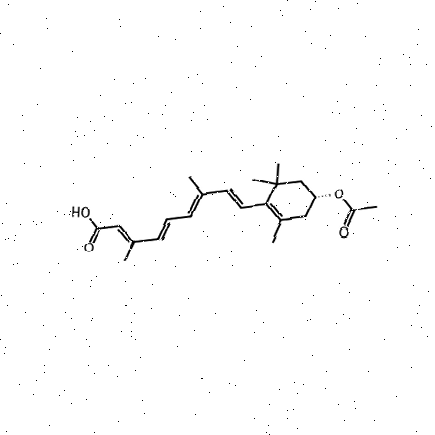 CC(=O)O[C@@H]1CC(C)=C(C=CC(C)=CC=CC(C)=CC(=O)O)C(C)(C)C1